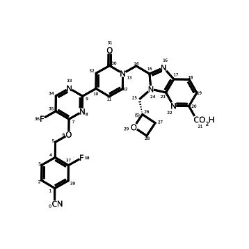 N#Cc1ccc(COc2nc(-c3ccn(Cc4nc5ccc(C(=O)O)nc5n4C[C@@H]4CCO4)c(=O)c3)ncc2F)c(F)c1